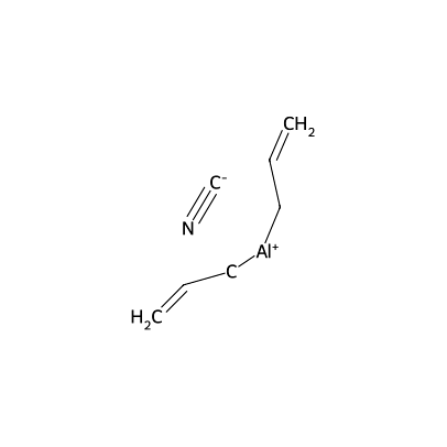 C=C[CH2][Al+][CH2]C=C.[C-]#N